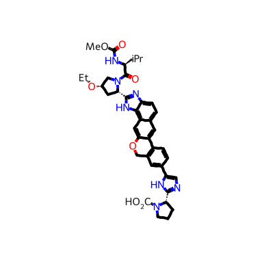 CCO[C@H]1C[C@@H](c2nc3ccc4cc5c(cc4c3[nH]2)OCc2cc(-c3cnc([C@@H]4CCCN4C(=O)O)[nH]3)ccc2-5)N(C(=O)[C@@H](NC(=O)OC)C(C)C)C1